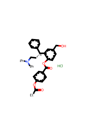 CCC(=O)Oc1ccc(C(=O)Oc2ccc(CO)cc2[C@H](CCN(C(C)C)C(C)C)c2ccccc2)cc1.Cl